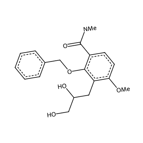 CNC(=O)c1ccc(OC)c(CC(O)CO)c1OCc1ccccc1